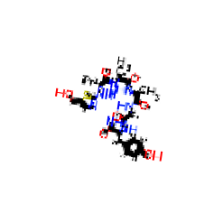 CC(C)[C@@H](Nc1ncc(CO)s1)C(=O)N[C@@H](C)C(=O)N[C@@H](C)C(=O)NCC(=O)N[C@@H](Cc1ccc(O)cc1)C(N)=O